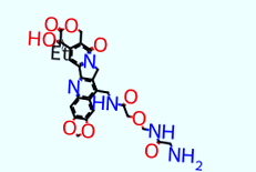 CC[C@@]1(O)C(=O)OCc2c1cc1n(c2=O)Cc2c-1nc1cc3c(cc1c2CNC(=O)COCNC(=O)CN)OCO3